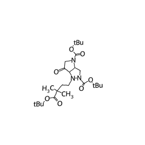 CC(C)(C)OC(=O)N1CC(=O)C2C1CN(C(=O)OC(C)(C)C)N2CCC(C)(C)C(=O)OC(C)(C)C